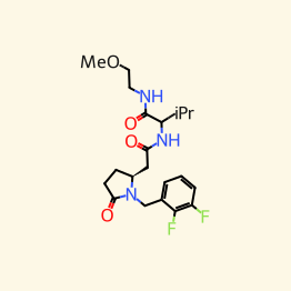 COCCNC(=O)C(NC(=O)C[C@@H]1CCC(=O)N1Cc1cccc(F)c1F)C(C)C